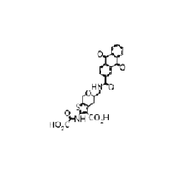 O=C(O)C(=O)Nc1sc2c(c1C(=O)O)CC(CNC(=O)c1ccc3c(c1)C(=O)c1ccccc1C3=O)OC2